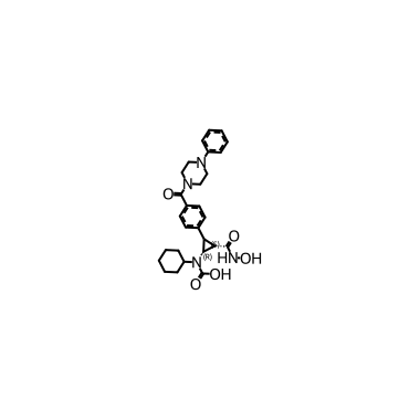 O=C(NO)[C@H]1C(c2ccc(C(=O)N3CCN(c4ccccc4)CC3)cc2)[C@H]1N(C(=O)O)C1CCCCC1